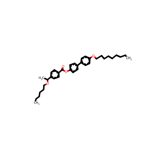 CCCCCCCCCOc1ccc(-c2ccc(OC(=O)c3ccc(C(C)OCCCCCC)cc3)cc2)cc1